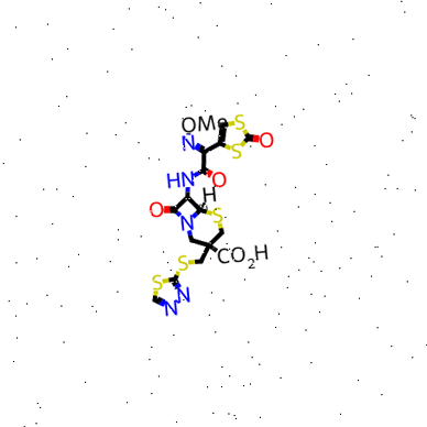 CON=C(C(=O)NC1C(=O)N2CC(CSc3nncs3)(C(=O)O)CS[C@H]12)c1csc(=O)s1